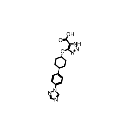 O=C(O)c1[nH]nnc1O[C@H]1CC[C@H](c2ccc(-n3cncn3)cc2)CC1